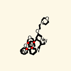 N#Cc1cnn2cc(OCCN3CCOCC3)cc(-c3ccc(N4CC5CC(C4)N5C(=O)c4ccccc4N4CCOCC4)nc3)c12